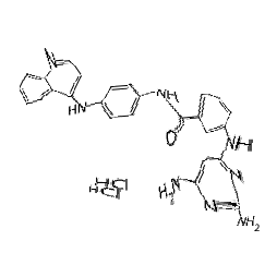 Cl.Cl.Nc1cc(Nc2cccc(C(=O)Nc3ccc(Nc4ccnc5ccccc45)cc3)c2)nc(N)n1